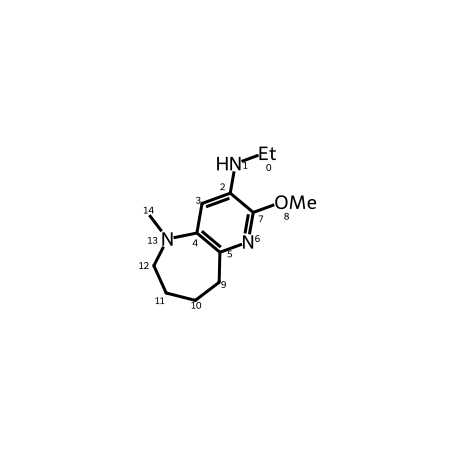 CCNc1cc2c(nc1OC)CCCCN2C